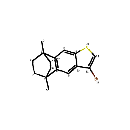 CC12CCC(C)(CC1)c1cc3c(Br)csc3cc12